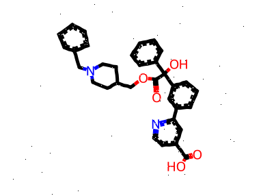 O=C(O)c1ccnc(-c2cccc(C(O)(C(=O)OCC3CCN(Cc4ccccc4)CC3)c3ccccc3)c2)c1